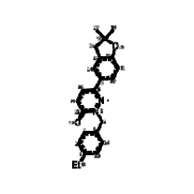 CCc1ccc(Cn2nc(-c3ccc4c(c3)CC(C)(C)O4)ccc2=O)cc1